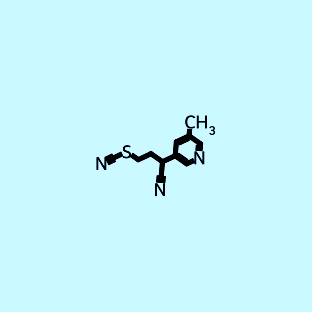 Cc1cncc(C(C#N)CCSC#N)c1